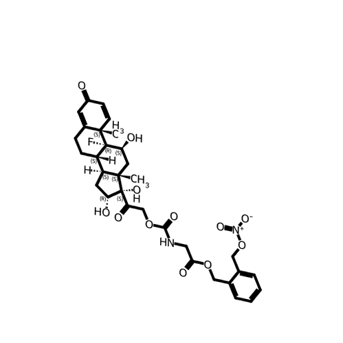 C[C@]12C=CC(=O)C=C1CC[C@H]1[C@@H]3C[C@@H](O)[C@](O)(C(=O)COC(=O)NCC(=O)OCc4ccccc4CO[N+](=O)[O-])[C@@]3(C)C[C@H](O)[C@@]12F